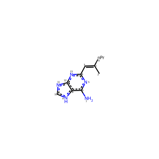 CCCC(C)=Cc1nc(N)c2[nH]cnc2n1